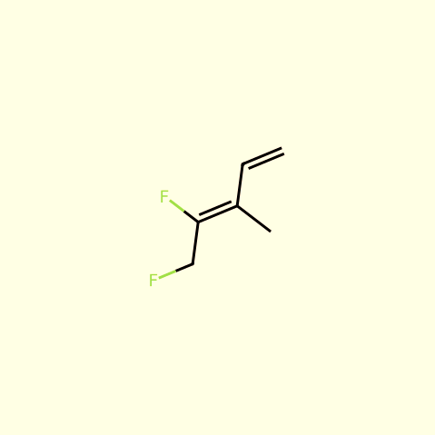 C=C/C(C)=C(\F)CF